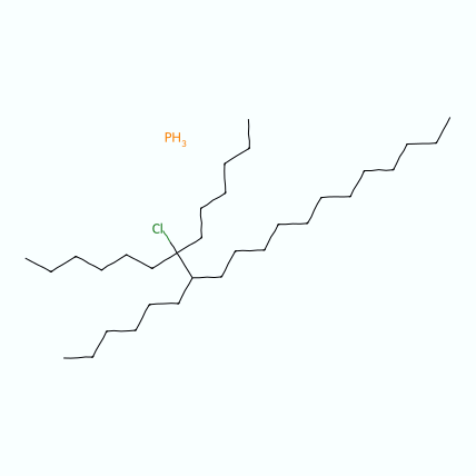 CCCCCCCCCCCCC(CCCCCC)C(Cl)(CCCCCC)CCCCCC.P